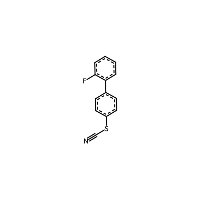 N#CSc1ccc(-c2ccccc2F)cc1